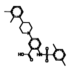 Cc1ccc(C)c(S(=O)(=O)Nc2ccc(N3CCC(c4cccc(C)c4C)CC3)cc2C(=O)O)c1